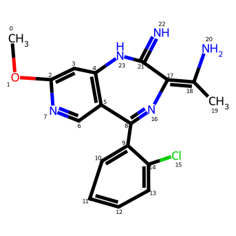 COc1cc2c(cn1)C(c1ccccc1Cl)=N/C(=C(\C)N)C(=N)N2